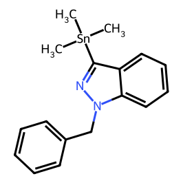 [CH3][Sn]([CH3])([CH3])[c]1nn(Cc2ccccc2)c2ccccc12